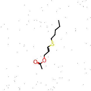 CCCCCSC=CCOC(C)=O